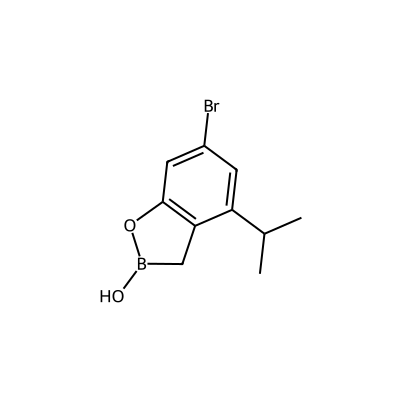 CC(C)c1cc(Br)cc2c1CB(O)O2